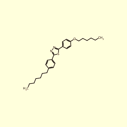 CCCCCCCc1ccc(-c2nnc(-c3ccc(OCCCCCC)cc3)s2)cc1